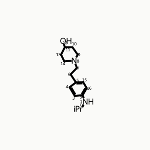 CC(C)Nc1ccc(CCN2CCC(O)CC2)cc1